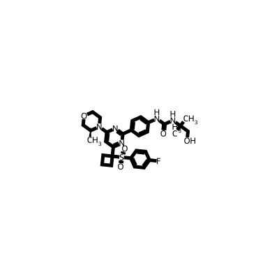 C[C@H]1COCCN1c1cc(C2(S(=O)(=O)c3ccc(F)cc3)CCC2)nc(-c2ccc(NC(=O)NC(C)(C)CO)cc2)n1